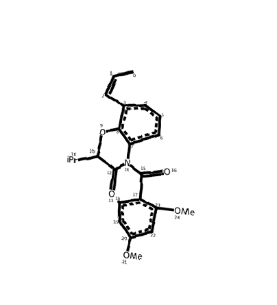 C/C=C\c1cccc2c1OC(C(C)C)C(=O)N2C(=O)c1ccc(OC)cc1OC